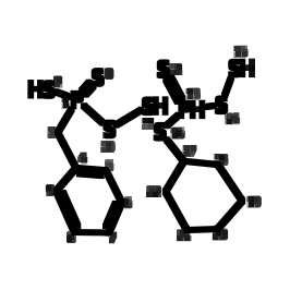 S=P(S)(Cc1ccccc1)SS.S=[PH](SS)SC1CCCCC1